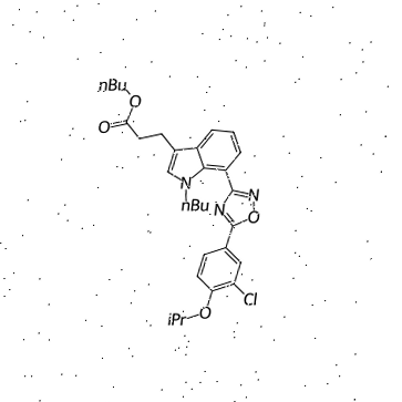 CCCCOC(=O)CCc1cn(CCCC)c2c(-c3noc(-c4ccc(OC(C)C)c(Cl)c4)n3)cccc12